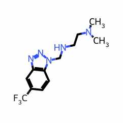 CN(C)CCNCn1nnc2cc(C(F)(F)F)ccc21